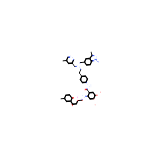 COc1cc(NC(=O)c2cc(=O)c3cc(C)ccc3o2)c(C(=O)Nc2ccc(CCN(Cc3cncc(C)c3)Cc3ccc4c(c3)c(C)nn4C)cc2)cc1OC